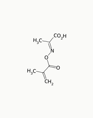 C=C(C)C(=O)ON=C(C)C(=O)O